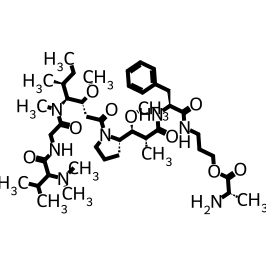 CC[C@H](C)[C@@H]([C@@H](CC(=O)N1CCC[C@H]1[C@H](OC)[C@@H](C)C(=O)N[C@@H](Cc1ccccc1)C(=O)NCCCOC(=O)[C@H](C)N)OC)N(C)C(=O)CNC(=O)C(C(C)C)N(C)C